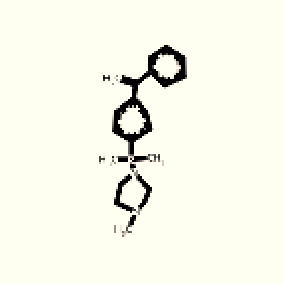 C=C(c1ccccc1)c1ccc(S(C)(C)N2CCN(C)CC2)cc1